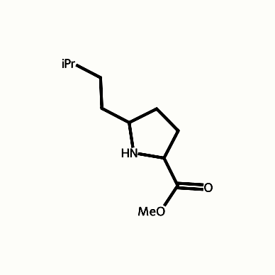 COC(=O)C1CCC(CCC(C)C)N1